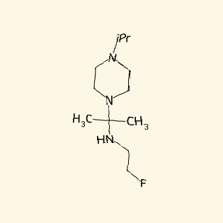 CC(C)N1CCN(C(C)(C)NCCF)CC1